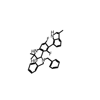 Cc1c[nH]c2c(-c3c(F)cc4c(c3F)[C@@H](N(Cc3ccccc3)Cc3ccccc3)[C@H](O)C(C)(C)N4)cccc12